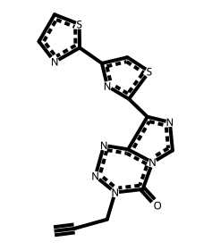 C#CCn1nnc2c(-c3nc(-c4nccs4)cs3)ncn2c1=O